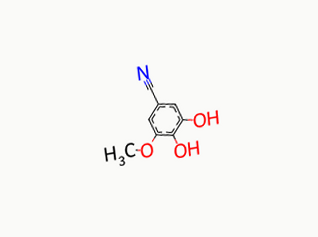 COc1cc(C#N)cc(O)c1O